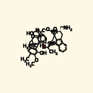 COc1c(C)cc2c(c1O)C1[C@@H]3[C@@H]4SC[C@]5(N[C@H](CN)Cc6c5[nH]c5ccccc65)C(=O)OC[C@@H](c5c6c(c(C)c(OC(C)=O)c54)OCO6)N3[C@@H](O)C(C2)N1C